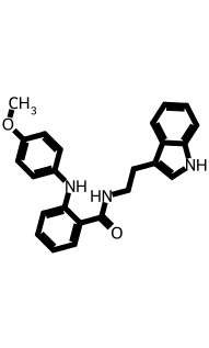 COc1ccc(Nc2ccccc2C(=O)NCCc2c[nH]c3ccccc23)cc1